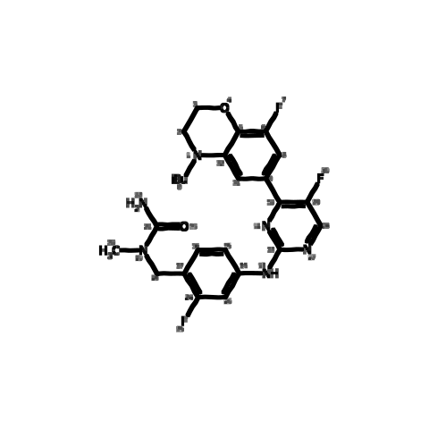 CCC(C)N1CCOc2c(F)cc(-c3nc(Nc4ccc(CN(C)C(N)=O)c(F)c4)ncc3F)cc21